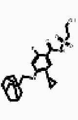 O=C(NS(=O)(=O)CCO)c1cc(C2CC2)c(OCC23CC4CC(CC(C4)C2)C3)cc1F